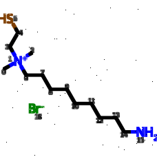 C[N+](C)(CCS)CCCCCCCCCN.[Br-]